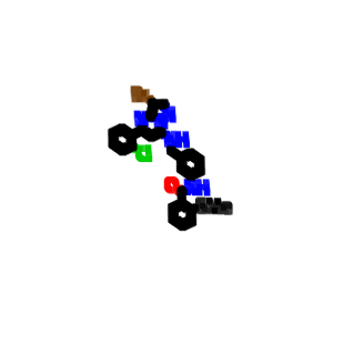 CSc1ccccc1C(=O)Nc1cccc(CNc2cc(-c3ccccc3Cl)nc3c(Br)cnn23)c1